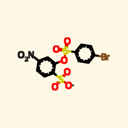 [O]S(=O)(=O)c1ccc([N+](=O)[O-])cc1OS(=O)(=O)c1ccc(Br)cc1